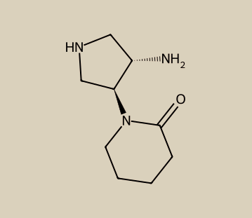 N[C@H]1CNC[C@@H]1N1CCCCC1=O